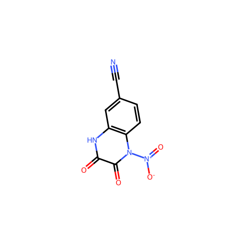 N#Cc1ccc2c(c1)[nH]c(=O)c(=O)n2[N+](=O)[O-]